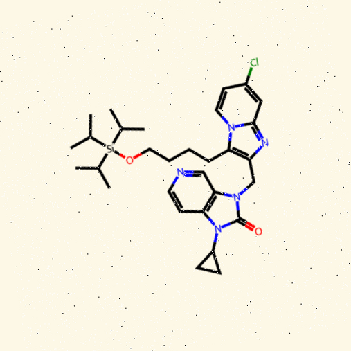 CC(C)[Si](OCCCCc1c(Cn2c(=O)n(C3CC3)c3ccncc32)nc2cc(Cl)ccn12)(C(C)C)C(C)C